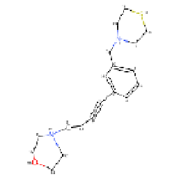 C(#Cc1cccc(CN2CCSCC2)c1)CCN1CCOCC1